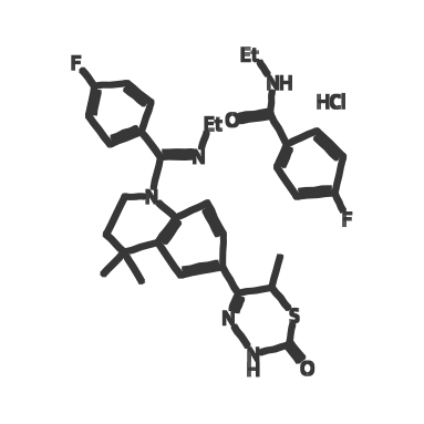 CCN=C(c1ccc(F)cc1)N1CCC(C)(C)c2cc(C3=NNC(=O)SC3C)ccc21.CCNC(=O)c1ccc(F)cc1.Cl